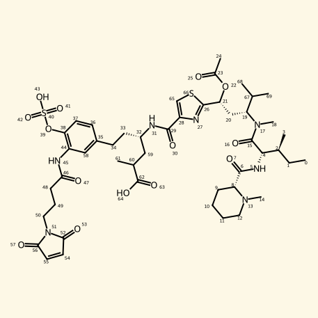 CC[C@H](C)[C@H](NC(=O)[C@H]1CCCCN1C)C(=O)N(C)[C@H](C[C@@H](OC(C)=O)c1nc(C(=O)N[C@@H](CCc2ccc(OS(=O)(=O)O)c(NC(=O)CCCN3C(=O)C=CC3=O)c2)CC(C)C(=O)O)cs1)C(C)C